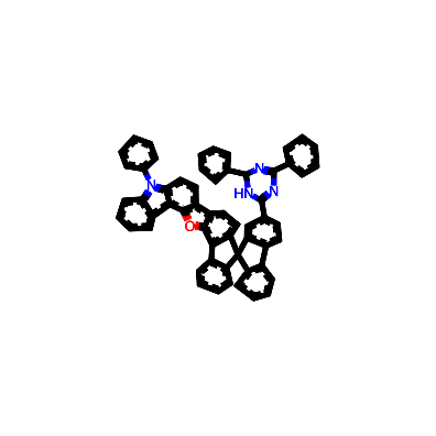 c1ccc(C2=NC(c3ccccc3)NC(c3ccc4c(c3)C3(c5ccccc5-4)c4ccccc4-c4c3ccc3c4oc4c3ccc3c4c4ccccc4n3-c3ccccc3)=N2)cc1